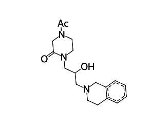 CC(=O)N1CCN(CC(O)CN2CCc3ccccc3C2)C(=O)C1